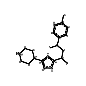 Cc1ccc(C(C)CC(C)c2nnc(C3CCNCC3)s2)cn1